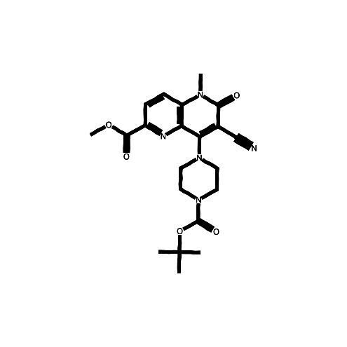 COC(=O)c1ccc2c(n1)c(N1CCN(C(=O)OC(C)(C)C)CC1)c(C#N)c(=O)n2C